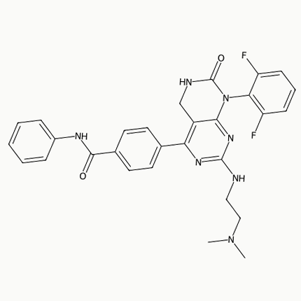 CN(C)CCNc1nc(-c2ccc(C(=O)Nc3ccccc3)cc2)c2c(n1)N(c1c(F)cccc1F)C(=O)NC2